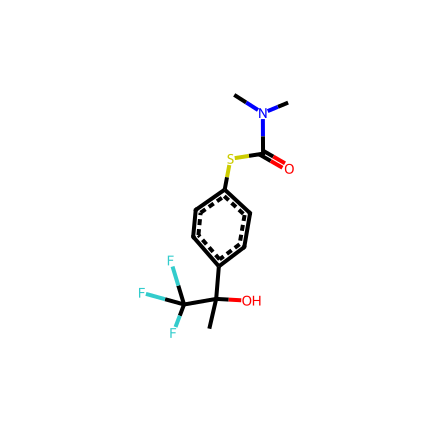 CN(C)C(=O)Sc1ccc(C(C)(O)C(F)(F)F)cc1